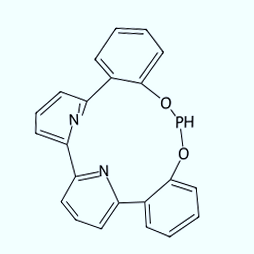 c1cc2nc(c1)-c1ccccc1OPOc1ccccc1-c1cccc-2n1